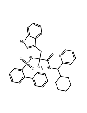 CC(Cc1c[nH]c2ccccc12)(NS(=O)(=O)c1ccccc1-c1ccccc1)C(=O)NC(c1ccccn1)C1CCCCC1